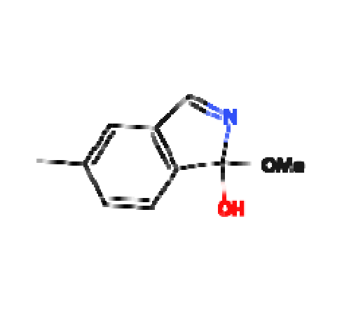 COC1(O)N=Cc2cc(C)ccc21